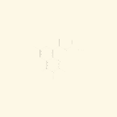 CCc1nc2c(C(C)N[S@+]([O-])C(C)(C)C)cc(C)cc2c(=O)n1C